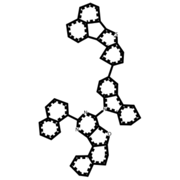 c1ccc2c(-c3nc(-n4c5ccccc5c5cc(-c6ccc7sc8c(c7c6)-c6cccc7cccc-8c67)ccc54)c4oc5ccc6ccccc6c5c4n3)cccc2c1